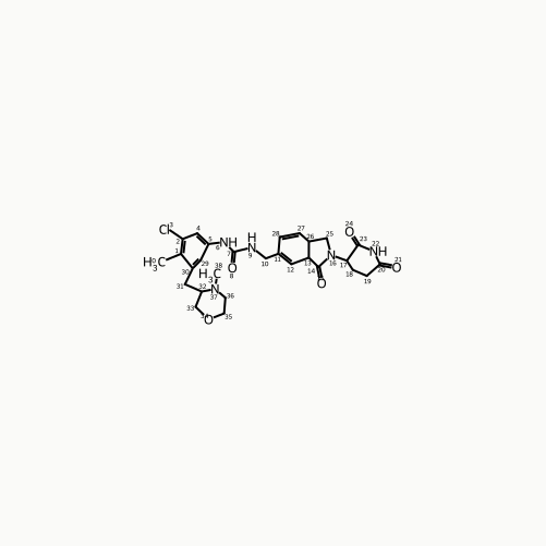 Cc1c(Cl)cc(NC(=O)NCC2=CC3C(=O)N(C4CCC(=O)NC4=O)CC3C=C2)cc1CC1COCCN1C